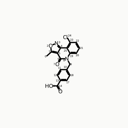 Cc1onc2c1c(=O)n(Cc1ccc(C(=O)O)cc1)c1cccc(Cl)c21